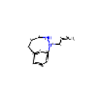 C=CCN1NCCCc2cccc1c2